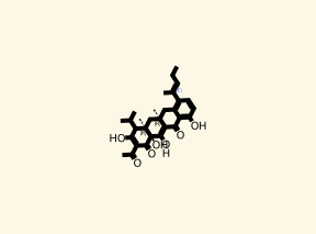 CC/C=C(\C)c1ccc(O)c2c1C[C@]1(C)C[C@]3(C)C(C(C)C)C(O)=C(C(C)=O)C(=O)[C@]3(O)C(O)=C1C2=O